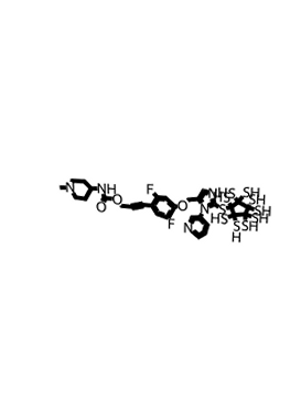 CN1CCC(NC(=O)OCC#Cc2cc(F)c(OCc3cnc(SC4(S)C(S)(S)C(S)(S)C(S)(S)C4(S)S)n3-c3cccnc3)cc2F)CC1